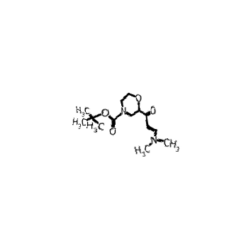 CN(C)/C=C/C(=O)C1CN(C(=O)OC(C)(C)C)CCO1